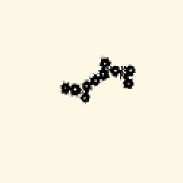 c1ccc(-c2ccc(-n3c4ccccc4c4cc(-c5ccc(-c6ccc7c(c6)c6ccccc6n7-c6ccc(-c7nc(-c8ccccc8)c8ccccc8n7)cc6)cc5)ccc43)cc2)cc1